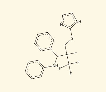 CC(CSc1ncc[nH]1)(C(Nc1ccccc1)c1ccccc1)C(F)(F)F